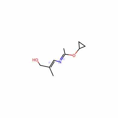 C/C(=C\N=C(/C)OC1CC1)CO